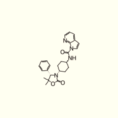 CC1(C)OC(=O)N([C@H]2CC[C@H](NC(=O)n3ccc4cccnc43)CC2)[C@H]1c1ccccc1